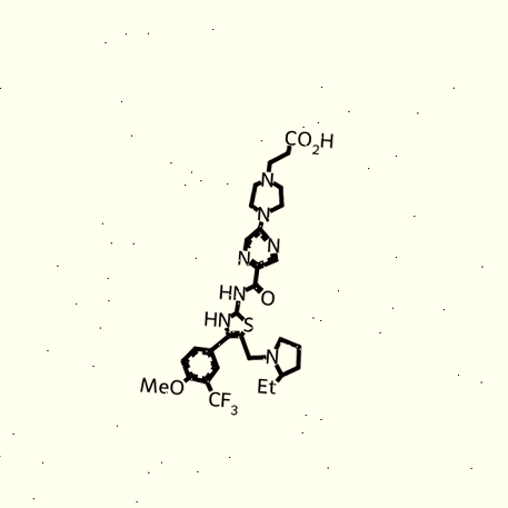 CCC1CCCN1CC1=C(c2ccc(OC)c(C(F)(F)F)c2)NC(NC(=O)c2cnc(N3CCN(CCC(=O)O)CC3)cn2)S1